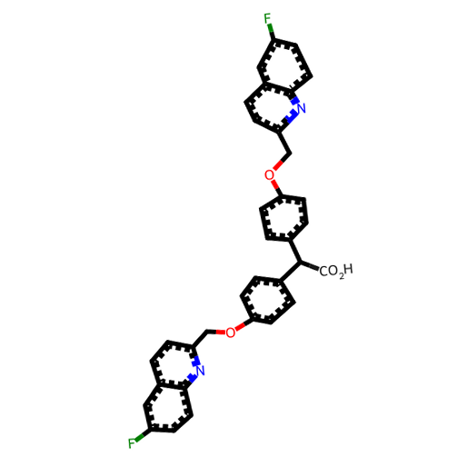 O=C(O)C(c1ccc(OCc2ccc3cc(F)ccc3n2)cc1)c1ccc(OCc2ccc3cc(F)ccc3n2)cc1